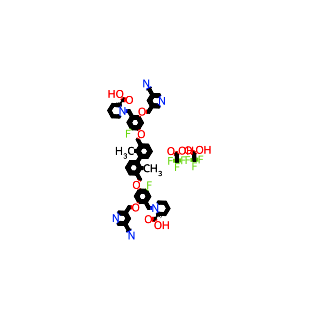 Cc1c(COc2cc(OCc3cncc(C#N)c3)c(CN3CCCC[C@H]3C(=O)O)cc2F)cccc1-c1cccc(COc2cc(OCc3cncc(C#N)c3)c(CN3CCCC[C@H]3C(=O)O)cc2F)c1C.O=C(O)C(F)(F)F.O=C(O)C(F)(F)F